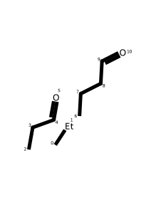 CCC.CCC=O.CCCC=O